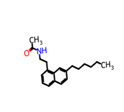 CCCCCCc1ccc2cccc(CCNC(C)=O)c2c1